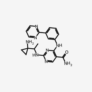 CC(Nc1ncc(C(N)=O)c(Nc2cccc(-c3ncccn3)c2)n1)C1(N)CC1